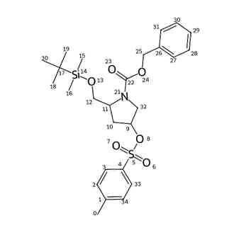 Cc1ccc(S(=O)(=O)OC2CC(CO[Si](C)(C)C(C)(C)C)N(C(=O)OCc3ccccc3)C2)cc1